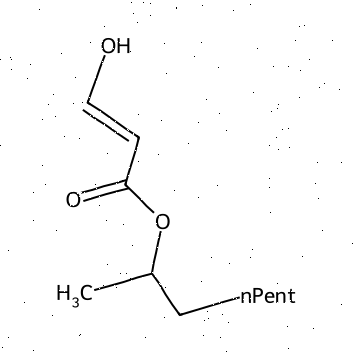 CCCCCCC(C)OC(=O)C=CO